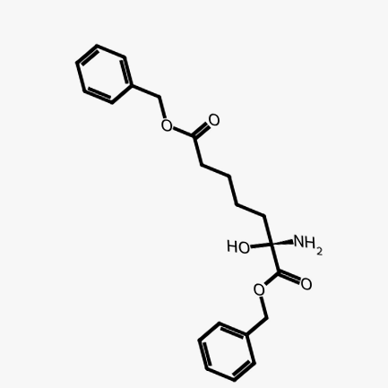 N[C@@](O)(CCCCC(=O)OCc1ccccc1)C(=O)OCc1ccccc1